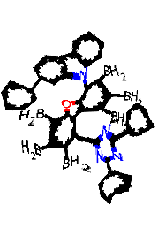 Bc1c(B)c(-c2nc(-c3ccccc3)nc(-c3ccccc3)n2)c2c(oc3c(-n4c5ccccc5c5ccc(-c6ccccc6)cc54)c(B)c(B)c(B)c32)c1B